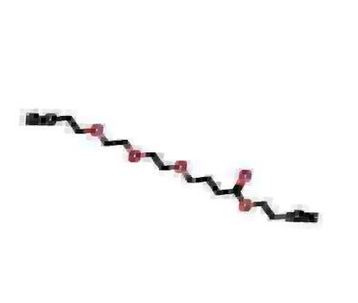 CCCCCCCCCCCCOC(=O)CCCOCCOCCOCCOCC(C)C